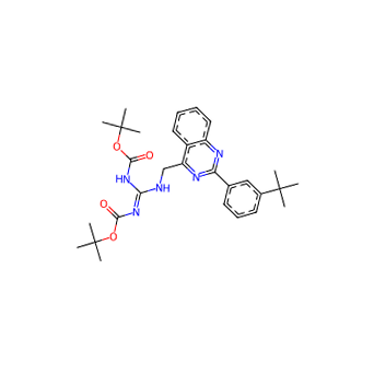 CC(C)(C)OC(=O)/N=C(/NCc1nc(-c2cccc(C(C)(C)C)c2)nc2ccccc12)NC(=O)OC(C)(C)C